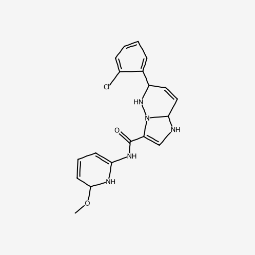 COC1C=CC=C(NC(=O)C2=CNC3C=CC(c4ccccc4Cl)NN23)N1